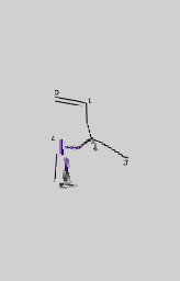 C=CC(C)I=C